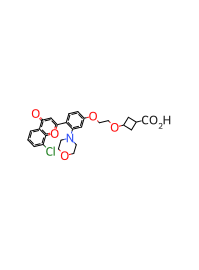 O=C(O)C1CC(OCCOc2ccc(-c3cc(=O)c4cccc(Cl)c4o3)c(N3CCOCC3)c2)C1